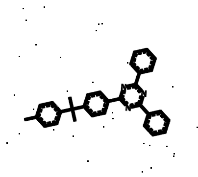 Cc1ccc(C(C)(C)c2ccc(-c3nc(-c4ccccc4)nc(-c4ccccc4)n3)cc2)cc1